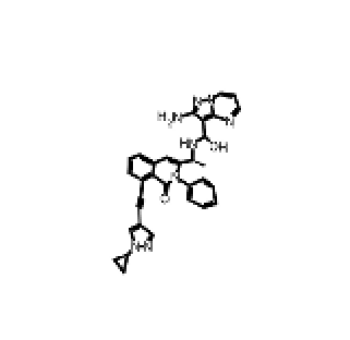 C[C@H](NC(O)c1c(N)nn2cccnc12)c1cc2cccc(C#Cc3cnn(C4CC4)c3)c2c(=O)n1-c1ccccc1